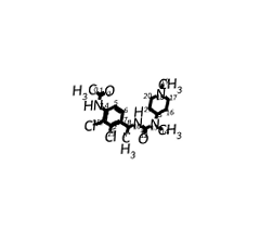 CC(=O)Nc1ccc(C(C)NC(=O)N(C)C2CCN(C)CC2)c(Cl)c1Cl